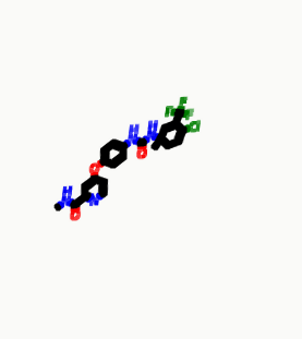 CNC(=O)c1cc(Oc2ccc(NC(=O)NC3(C)C=C(C(F)(F)F)C(Cl)=CC3)cc2)ccn1